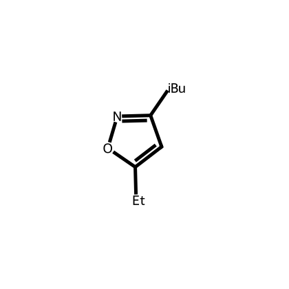 CCc1cc(C(C)CC)no1